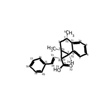 C[C@H]1C[C@@]2(C)[C@@H](c3ccccc31)[C@@]2(C=Cc1ccccc1)C(=O)O